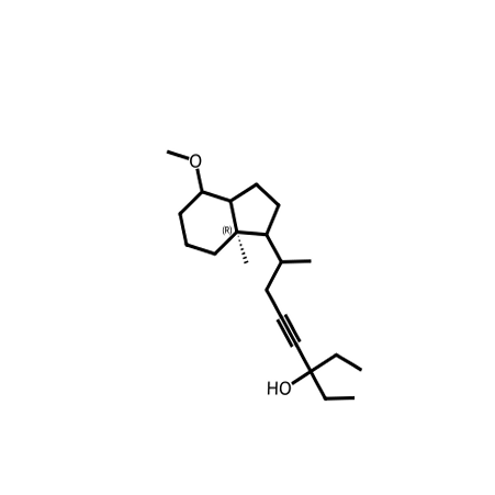 CCC(O)(C#CCC(C)C1CCC2C(OC)CCC[C@]12C)CC